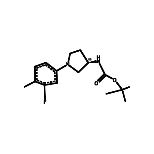 Cc1ccc(N2CC[C@@H](NC(=O)OC(C)(C)C)C2)cc1F